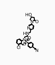 Cc1c(Cl)cccc1N(CC(=O)NCc1ccc(N2CC(O)CC2=O)cn1)S(=O)(=O)c1ccc(C#N)cc1